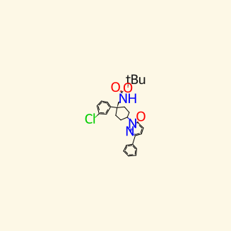 CC(C)(C)OC(=O)NC[C@]1(c2cccc(Cl)c2)CC[C@H](n2nc(-c3ccccc3)ccc2=O)CC1